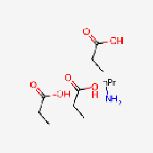 CCC(=O)O.CCC(=O)O.CCC(=O)O.CCCN